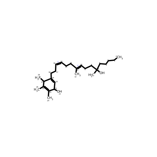 CCCCCC(C)(O)CC/C=C(\C)CC/C=C\CCC1=CC(O)C(C)=C(C)C1P